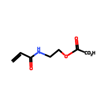 C=CC(=O)NCCOC(=O)C(=O)O